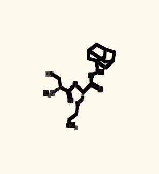 CCCSC[C@H](OC(=O)[C@H](C)CS)C(=O)ONC12CC3CC(CC(C3)C1)C2